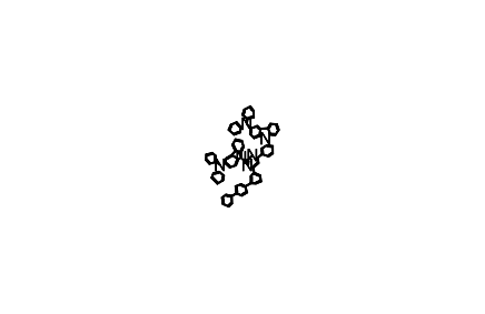 c1ccc(-c2ccc(-c3cccc(-c4cc(-c5cccc(-n6c7ccccc7c7cc(N(c8ccccc8)c8ccccc8)ccc76)c5)nc(-n5c6ccccc6c6cc(N(c7ccccc7)c7ccccc7)ccc65)n4)c3)cc2)cc1